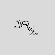 CNC(=O)Nc1ccc(Oc2ccnc3cc(OC)c(C(=O)NOCC(C)C)cc23)cc1CI